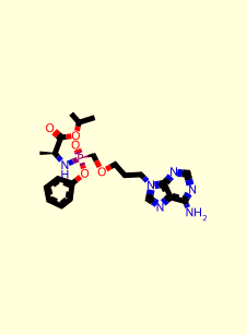 CC(C)OC(=O)[C@H](C)N[P@@](=O)(COCCCn1cnc2c(N)ncnc21)Oc1ccccc1